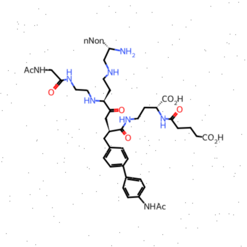 CCCCCCCCC[C@H](N)CNCC[C@H](NCCNC(=O)CNC(C)=O)C(=O)C[C@H](Cc1ccc(-c2ccc(NC(C)=O)cc2)cc1)C(=O)NCC[C@@H](NC(=O)CCCC(=O)O)C(=O)O